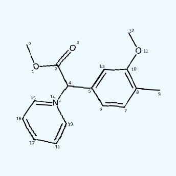 COC(=O)C(c1ccc(C)c(OC)c1)[n+]1ccccc1